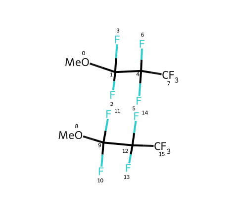 COC(F)(F)C(F)(F)C(F)(F)F.COC(F)(F)C(F)(F)C(F)(F)F